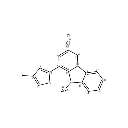 CC1=CCC(c2cccc3c2[CH]([Zr+2])c2ccccc2-3)=C1.[Cl-].[Cl-]